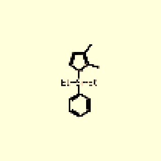 CC[Si](CC)([C]1C=CC(C)=C1C)c1ccccc1